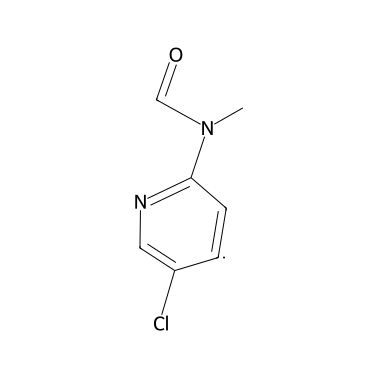 CN(C=O)c1c[c]c(Cl)cn1